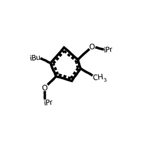 CCC(C)c1cc(OC(C)C)c(C)cc1OC(C)C